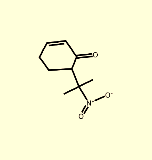 CC(C)(C1CCC=CC1=O)[N+](=O)[O-]